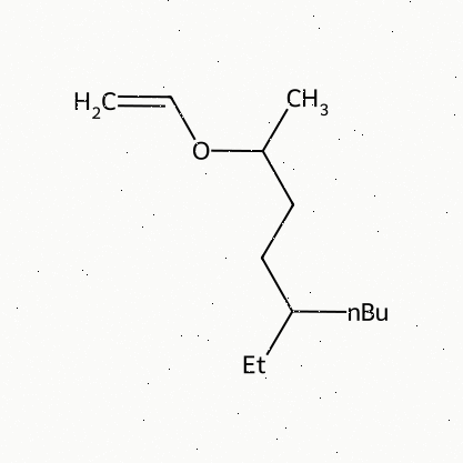 C=COC(C)CCC(CC)CCCC